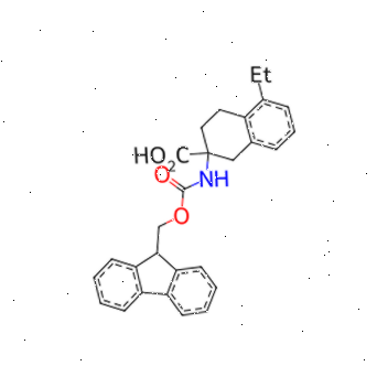 CCc1cccc2c1CCC(NC(=O)OCC1c3ccccc3-c3ccccc31)(C(=O)O)C2